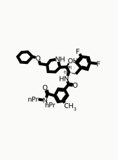 CCCN(CCC)C(=O)c1cc(C)cc(C(=O)N[C@@H](Cc2cc(F)cc(F)c2)[C@H](O)C2CCC(COC3CCCCC3)CN2)c1